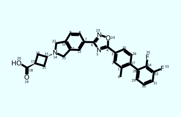 Cc1cc(-c2nc(-c3ccc4c(c3)CN([C@H]3C[C@H](C(=O)O)C3)C4)no2)ccc1-c1cccc(F)c1F